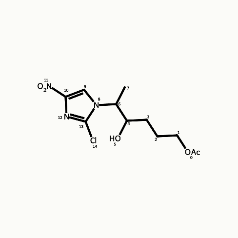 CC(=O)OCCCC(O)C(C)n1cc([N+](=O)[O-])nc1Cl